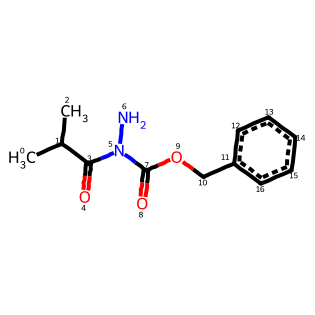 CC(C)C(=O)N(N)C(=O)OCc1ccccc1